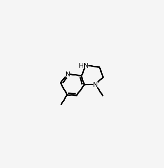 Cc1cnc2c(c1)N(C)CCN2